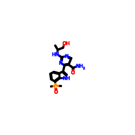 CC(CO)Nc1ncc(C(N)=O)c(-c2c[nH]c3c(P(C)(C)=O)cccc23)n1